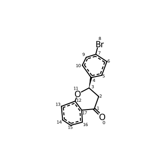 O=C1C[C@H](c2ccc(Br)cc2)Oc2ccccc21